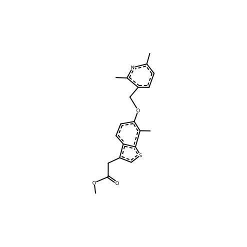 COC(=O)Cc1csc2c(C)c(OCc3ccc(C)nc3C)ccc12